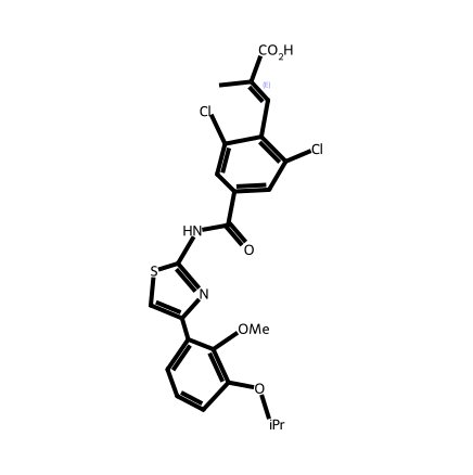 COc1c(OC(C)C)cccc1-c1csc(NC(=O)c2cc(Cl)c(/C=C(\C)C(=O)O)c(Cl)c2)n1